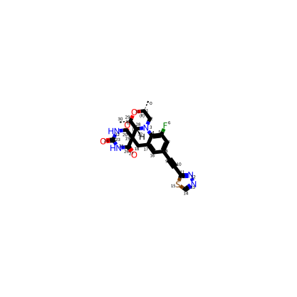 C[C@@H]1CN2c3c(F)cc(C#Cc4nncs4)cc3CC3(C(=O)NC(=O)NC3=O)[C@H]2[C@H](C)O1